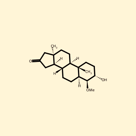 CO[C@H]1[C@H]2CC[C@@H]3[C@H]4CC(=O)C[C@@]4(C)CC[C@H]3[C@]2(C)CC[C@@H]1O